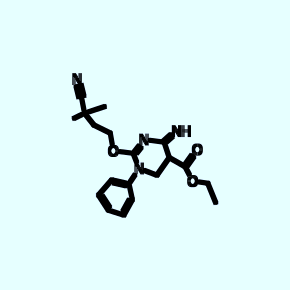 CCOC(=O)C1CN(c2ccccc2)C(OCCC(C)(C)C#N)=NC1=N